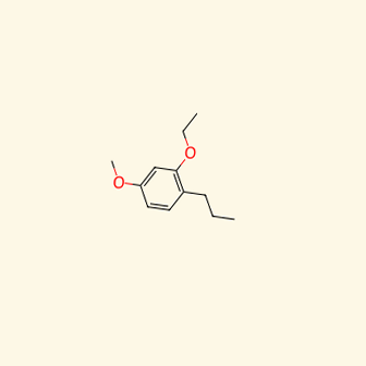 CCCc1ccc(OC)cc1OCC